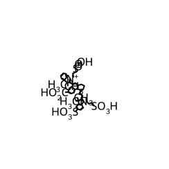 CC1(C)C(/C=C/C2=C(c3ccc(C(=O)O)cc3)C(=C/C=C3/N(CCCS(=O)(=O)O)c4ccc(S(=O)(=O)O)cc4C3(C)C)/CCC2)=[N+](CCCSOOO)c2ccccc21